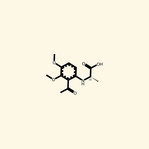 COc1ccc(N[C@@H](C)C(=O)O)c(C(C)=O)c1OC